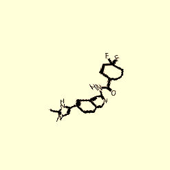 Cc1ncc(-c2ccc3cnc(NC(=O)C4CCC(F)(F)CC4)cc3c2)[nH]1